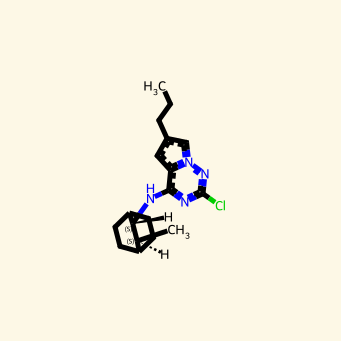 CCCc1cc2c(N[C@H]3C4CCC(CC4)[C@@H]3C)nc(Cl)nn2c1